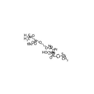 Cc1ncsc1-c1ccc(CNC(=O)[C@@H]2CC(O)CN2C(=O)C(c2cc(OCCCCOCCN(CCC(=O)N(C)C)C(=O)OC(C)(C)C)no2)C(C)C)cc1